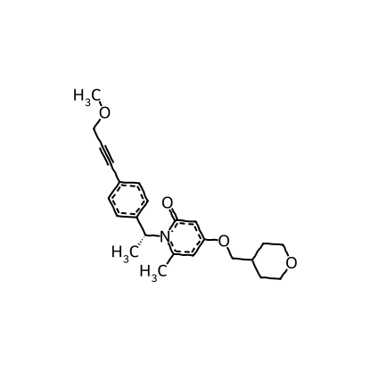 COCC#Cc1ccc([C@@H](C)n2c(C)cc(OCC3CCOCC3)cc2=O)cc1